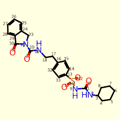 O=C(NC1CCCCC1)NS(=O)(=O)c1ccc(CCNC(=O)N2Cc3ccccc3C2=O)cc1